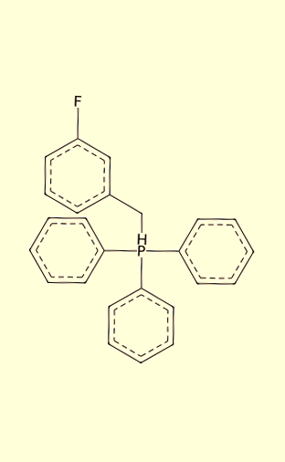 Fc1cccc(C[PH](c2ccccc2)(c2ccccc2)c2ccccc2)c1